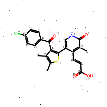 Cc1sc(-c2c[nH]c(=O)c(C)c2C=CC(=O)O)c(C(=O)c2ccc(Cl)cc2)c1C